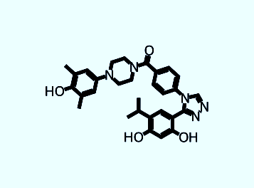 Cc1cc(N2CCN(C(=O)c3ccc(-n4cnnc4-c4cc(C(C)C)c(O)cc4O)cc3)CC2)cc(C)c1O